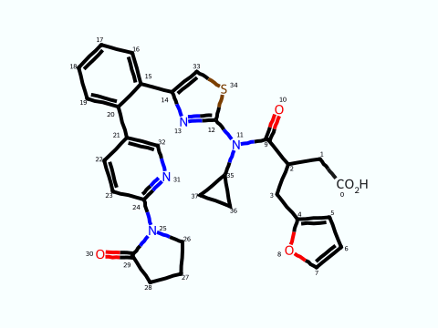 O=C(O)CC(Cc1ccco1)C(=O)N(c1nc(-c2ccccc2-c2ccc(N3CCCC3=O)nc2)cs1)C1CC1